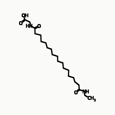 CCNC(=O)CCCCCCCCCCCCCCCCC(=O)NCC(=O)O